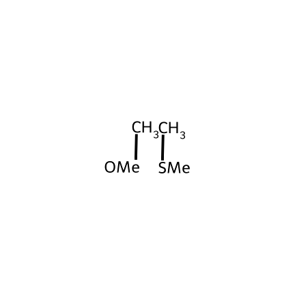 COC.CSC